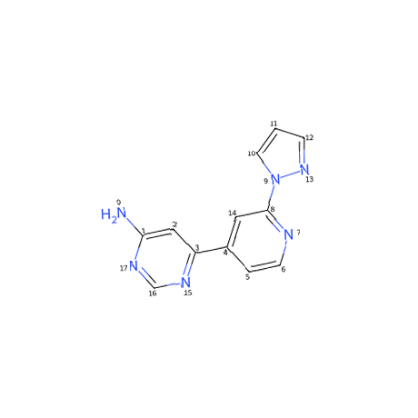 Nc1cc(-c2ccnc(-n3cccn3)c2)ncn1